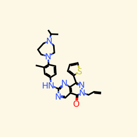 C=CCn1nc(-c2cccs2)c2nc(Nc3ccc(N4CCCN(C(C)C)CC4)c(C)c3)ncc2c1=O